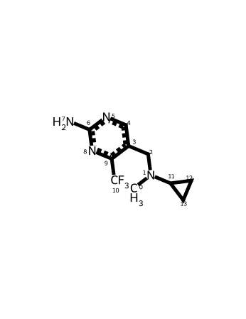 CN(Cc1cnc(N)nc1C(F)(F)F)C1CC1